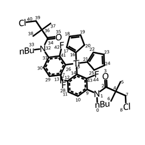 CCCCN(C(=O)C(C)(C)CCl)c1ccc(F)[c]([Ti]([C]2=CC=CC2)([C]2=CC=CC2)[c]2c(F)ccc(N(CCCC)C(=O)C(C)(C)CCl)c2F)c1F